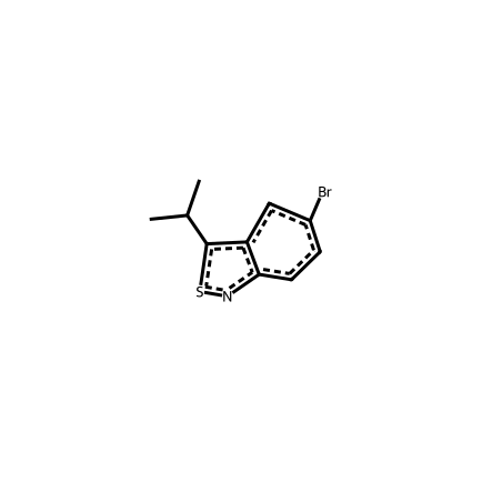 CC(C)c1snc2ccc(Br)cc12